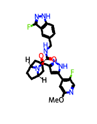 COc1cc(-c2cc(C(=O)N3[C@@H]4CC[C@H]3C[C@H](C(=O)NCc3ccc5[nH]nc(F)c5c3)C4)n[nH]2)c(F)cn1